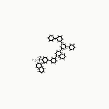 CC1(C)c2ccc(-c3cccc(-c4ccc(-c5nc(-c6ccccc6)cc(-c6cccc(-c7ccccc7)c6)n5)c5ccccc45)c3)cc2-c2c1ccc1ccccc21